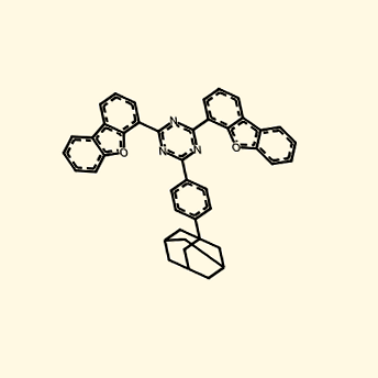 c1ccc2c(c1)oc1c(-c3nc(-c4ccc(C56CC7CC(CC(C7)C5)C6)cc4)nc(-c4cccc5c4oc4ccccc45)n3)cccc12